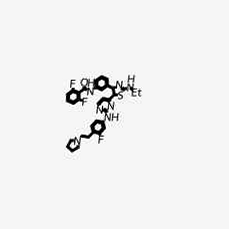 CCNC1=NC(c2cccc(NC(=O)c3c(F)cccc3F)c2)C(c2ccnc(Nc3ccc(CCN4CCCC4)c(F)c3)n2)S1